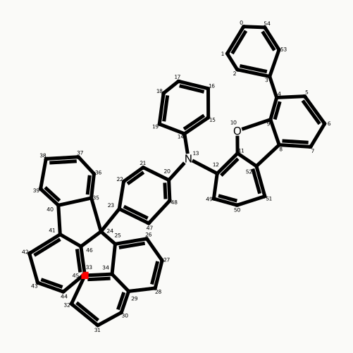 c1ccc(-c2cccc3c2oc2c(N(c4ccccc4)c4ccc(C5(c6cccc7ccccc67)c6ccccc6-c6ccccc65)cc4)cccc23)cc1